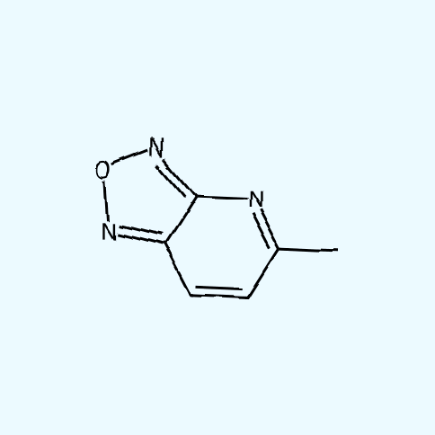 Cc1ccc2nonc2n1